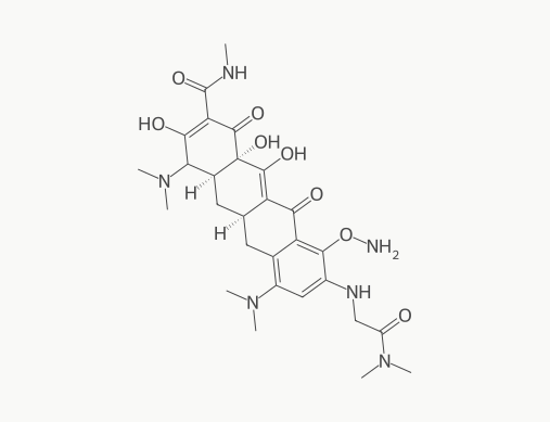 CNC(=O)C1=C(O)C(N(C)C)[C@@H]2C[C@@H]3Cc4c(N(C)C)cc(NCC(=O)N(C)C)c(ON)c4C(=O)C3=C(O)[C@]2(O)C1=O